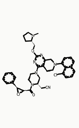 CN1CCC[C@H]1COc1nc2c(c(N3CCN(C(=O)[C@H]4O[C@H]4c4ccccc4)[C@@H](CC#N)C3)n1)CCN(c1cccc3cccc(Cl)c13)C2